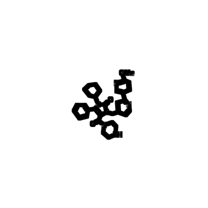 COc1ccc(-c2cc(Cn3c(C(=O)N4CCNCC4)c(-c4ccccc4)n(C4CCCCC4)c3=O)ccn2)cn1